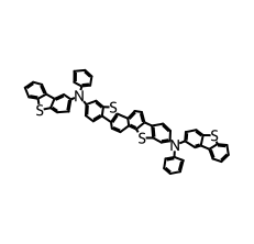 c1ccc(N(c2ccc3c(c2)sc2c3ccc3c2ccc2c4ccc(N(c5ccccc5)c5ccc6sc7ccccc7c6c5)cc4sc23)c2ccc3sc4ccccc4c3c2)cc1